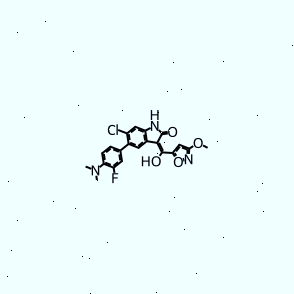 COc1cc(/C(O)=C2\C(=O)Nc3cc(Cl)c(-c4ccc(N(C)C)c(F)c4)cc32)on1